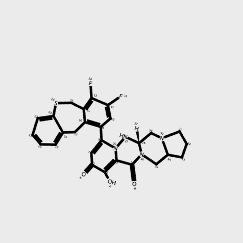 O=C1c2c(O)c(=O)cc(-c3cc(F)c(F)c4c3Cc3ccccc3SC4)n2N[C@@H]2CN3CCCC3CN12